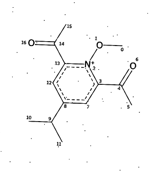 CO[n+]1c(C(C)=O)cc(C(C)C)cc1C(C)=O